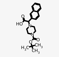 CC(C)(C)OC(=O)N1CCN(C(C(=O)O)c2ccc3ccccc3c2)CC1